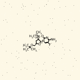 C[SiH](C)O[C@@H]1C[C@H](COC(C)(C)C)O[C@@H]1n1cc(F)c(N)nc1=O